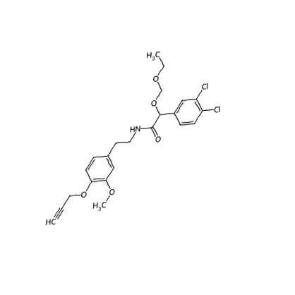 C#CCOc1ccc(CCNC(=O)C(OCOCC)c2ccc(Cl)c(Cl)c2)cc1OC